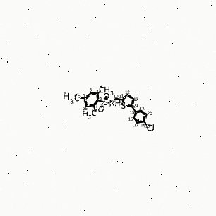 Cc1cc(C)c(S(=O)(=O)NCc2ccc(-c3ccc(Cl)cc3)s2)c(C)c1